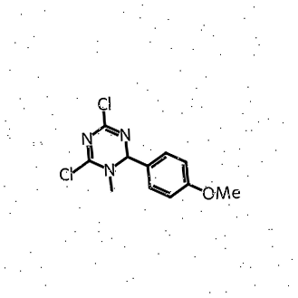 COc1ccc(C2N=C(Cl)N=C(Cl)N2C)cc1